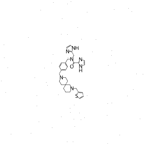 O=C(c1ncc[nH]1)N(Cc1ccc(CN2CCC3(CCCN(Cc4cccs4)C3)CC2)cc1)Cc1ncc[nH]1